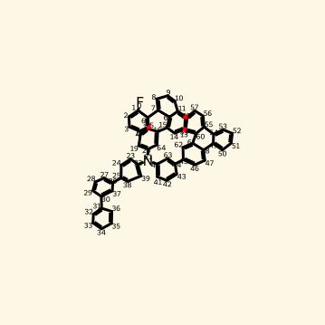 Fc1ccccc1-c1cccc2cccc(-c3cccc(N(c4ccc(-c5cccc(-c6ccccc6)c5)cc4)c4cccc(-c5ccc6c7ccccc7c7ccccc7c6c5)c4)c3)c12